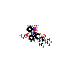 COc1ccc(Cl)c2c1N(c1ccccc1[N+](=O)[O-])CC21CCN(C(=O)C(C)(C)C)CC1